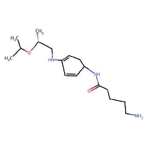 CC(C)O[C@H](C)CNC1=CCC(NC(=O)CCCCN)C=C1